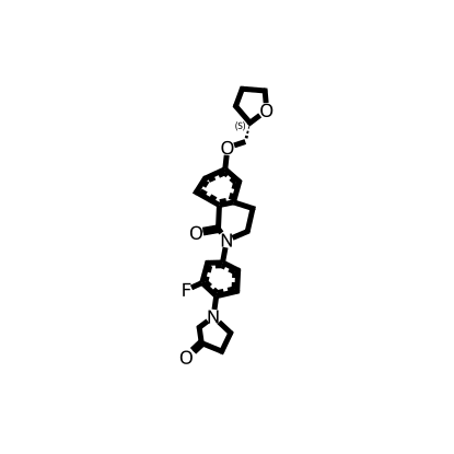 O=C1CCN(c2ccc(N3CCc4cc(OC[C@@H]5CCCO5)ccc4C3=O)cc2F)C1